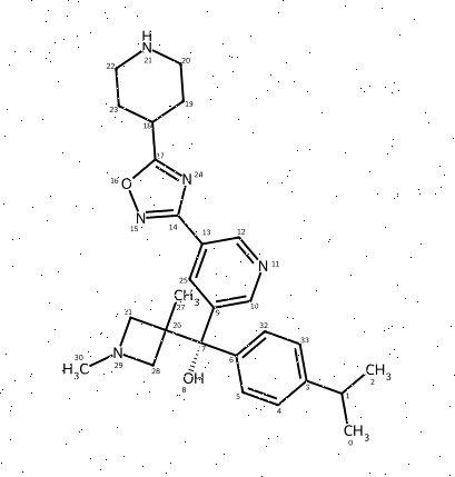 CC(C)c1ccc([C@](O)(c2cncc(-c3noc(C4CCNCC4)n3)c2)C2(C)CN(C)C2)cc1